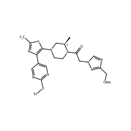 CCOc1ncc(-c2nc(C(F)(F)F)sc2N2CCN(C(=O)Cn3cnc(COC)n3)[C@H](C)C2)cn1